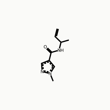 C=CC(C)NC(=O)c1cnn(C)c1